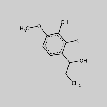 [CH2]CC(O)c1ccc(OC)c(O)c1Cl